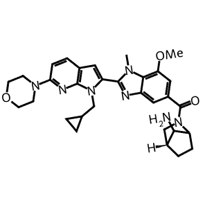 COc1cc(C(=O)N2C[C@H]3CCC2C3N)cc2nc(-c3cc4ccc(N5CCOCC5)nc4n3CC3CC3)n(C)c12